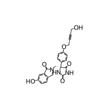 O=C1NC(=O)[C@](CN2Cc3ccc(O)cc3C2=O)(c2ccc(OCC#CCO)cc2)N1